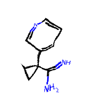 N=C(N)C1(c2cccnc2)CC1